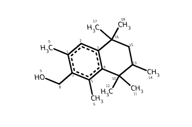 Cc1cc2c(c(C)c1CO)C(C)(C)C(C)CC2(C)C